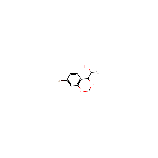 CCC(O)C1OCOc2cc(Br)ccc21